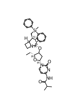 CC[C@H]1O[C@@H](n2ccc(NC(=O)C(C)C)nc2=O)CC1O[P@@]1O[C@H](C[Si](C)(c2ccccc2)c2ccccc2)[C@@H]2CCN21